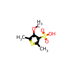 COc1c(C)sc(C)c1S(=O)(=O)O